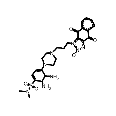 CN(C)S(=O)(=O)C1=CC=C(N2CCN(CCCn3c4c(n[n+]3[O-])C(=O)c3ccccc3C4=O)CC2)C(N)C1N